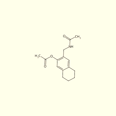 CC(=O)NCc1cc2c(cc1OC(C)=O)CCCC2